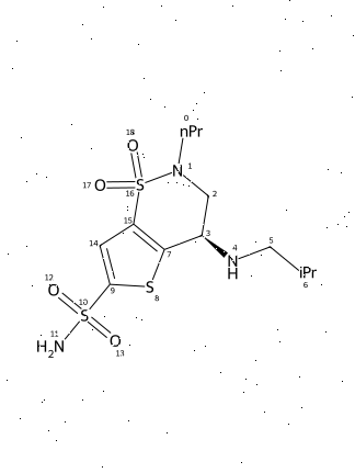 CCCN1C[C@@H](NCC(C)C)c2sc(S(N)(=O)=O)cc2S1(=O)=O